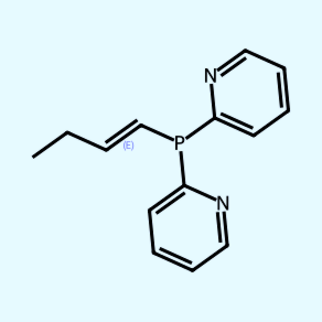 CC/C=C/P(c1ccccn1)c1ccccn1